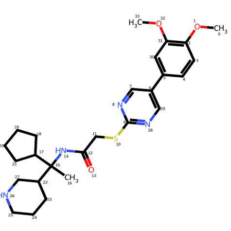 COc1ccc(-c2cnc(SCC(=O)NC(C)(C3CCCC3)C3CCCNC3)nc2)cc1OC